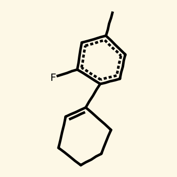 Cc1ccc(C2=CCCCC2)c(F)c1